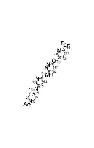 CC(=O)N1CCC2(CC1)CN(c1ccc(CNc3ccc(OCc4ccc(C(F)F)nc4)nn3)nc1)C2